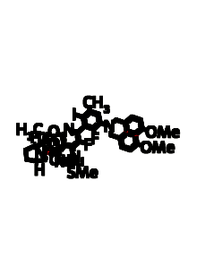 COc1ccc(CN(Cc2ccc(OC)cc2)c2cc(C)c(I)c(-c3nc4c5c(nc(SC)nc5c3F)N3C[C@H]5CC[C@@H]([C@H]3[C@H](C)O4)N5C(=O)OC(C)(C)C)c2F)cc1